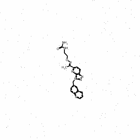 C/C(=N\OCCNC(N)=O)c1ccc2nnn(Cc3ccc4ncccc4c3)c2n1